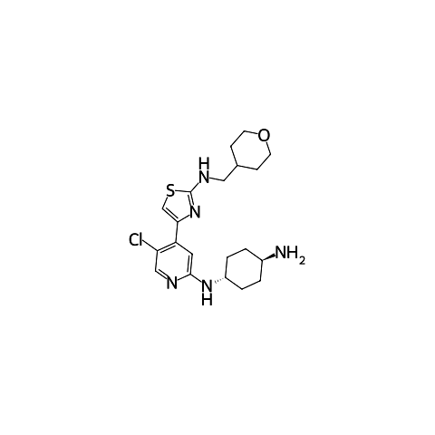 N[C@H]1CC[C@H](Nc2cc(-c3csc(NCC4CCOCC4)n3)c(Cl)cn2)CC1